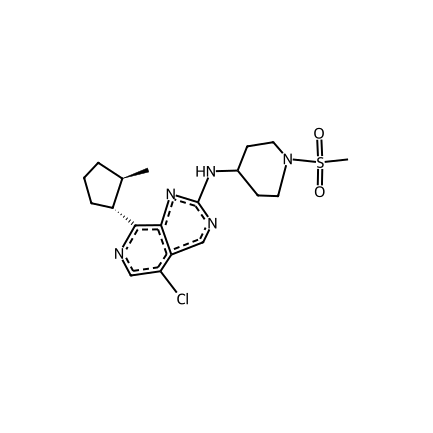 C[C@@H]1CCC[C@H]1c1ncc(Cl)c2cnc(NC3CCN(S(C)(=O)=O)CC3)nc12